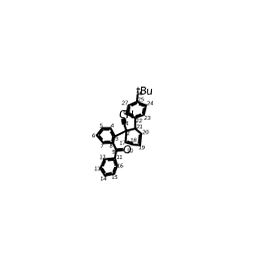 C#CC1(c2ccccc2C(=O)c2ccccc2)C=CC=CC1c1ccc(C(C)(C)C)cc1